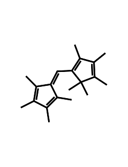 CC1=C(C)C(C)=C(C)C1=CC1=C(C)C(C)=C(C)C1(C)C